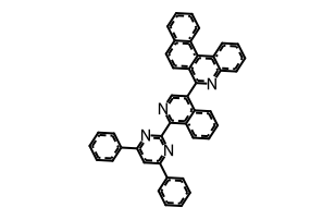 c1ccc(-c2cc(-c3ccccc3)nc(-c3ncc(-c4nc5ccccc5c5c4ccc4ccccc45)c4ccccc34)n2)cc1